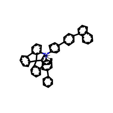 c1ccc(-c2ccc(N(c3ccc(-c4ccc(-c5cccc6ccccc56)cc4)cc3)c3cccc4c3C3(c5ccccc5-c5ccccc53)c3ccccc3-4)cc2)cc1